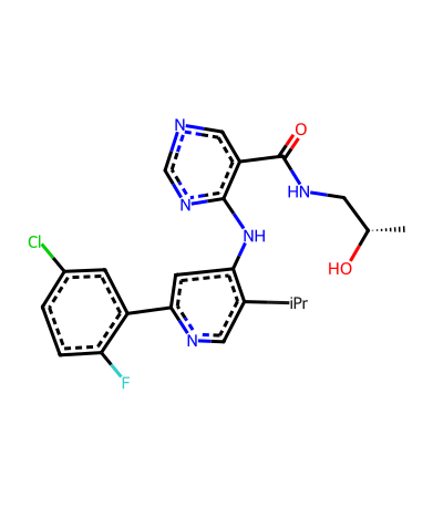 CC(C)c1cnc(-c2cc(Cl)ccc2F)cc1Nc1ncncc1C(=O)NC[C@H](C)O